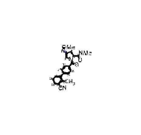 CNC(=O)C1C/C(=N\OC)CN1C(=O)c1ccc(-c2cccc(C#N)c2C)cc1